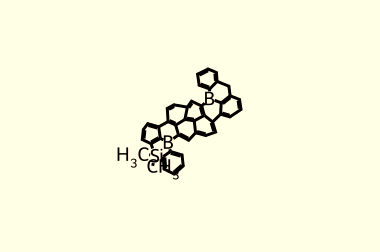 C[Si]1(C)c2ccccc2B2c3c(cccc31)-c1ccc3cc4c5c(ccc6cc2c1c3c65)-c1cccc2c1B4c1ccccc1C2